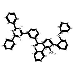 Cc1c(-c2ccccc2Oc2ccccc2)ccc2c(-c3cccc(-c4nc(-c5ccccc5)nc(-c5ccccc5)n4)c3)nc3ccccc3c12